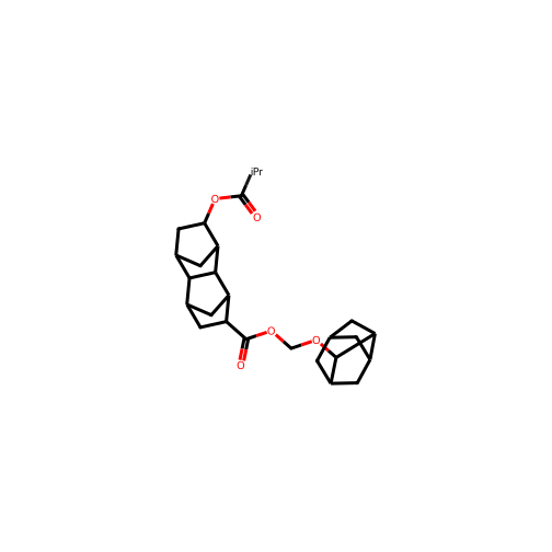 CC(C)C(=O)OC1CC2CC1C1C3CC(CC3C(=O)OCOC3C4CC5CC(C4)C3C5)C21